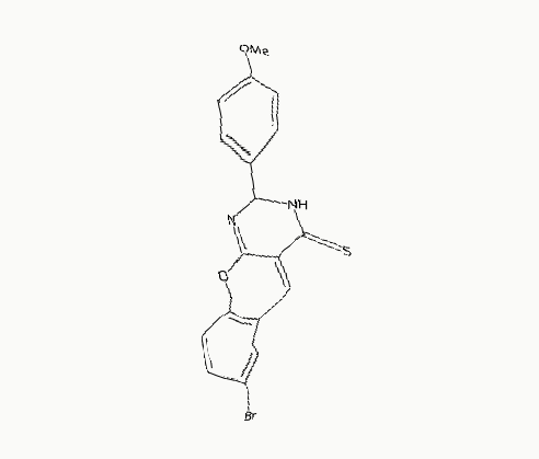 COc1ccc(C2N=C3Oc4ccc(Br)cc4C=C3C(=S)N2)cc1